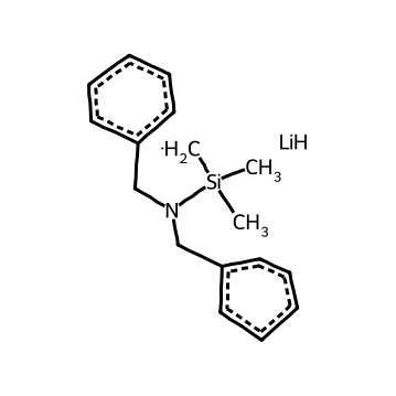 [CH2][Si](C)(C)N(Cc1ccccc1)Cc1ccccc1.[LiH]